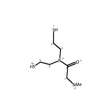 CNCC(=O)N(CCS)CCS